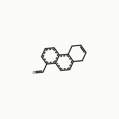 O=Cc1cccc2c3c(ccc12)CC=CC3